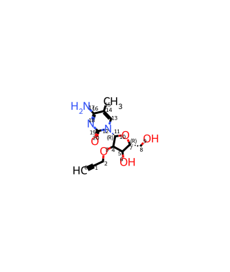 C#CCOC1C(O)[C@@H](CO)O[C@H]1n1cc(C)c(N)nc1=O